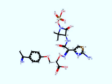 CC(=N)c1ccc(OC[C@H](O/N=C(\C(=O)N[C@@H]2C(=O)N(OS(=O)(=O)O)C2(C)C)c2csc(N)n2)C(=O)O)cc1